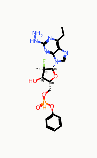 CCc1nc(NN)nc2c1ncn2[C@@H]1O[C@H](CO[PH](=O)Oc2ccccc2)[C@@H](O)[C@@]1(C)F